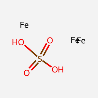 O=S(=O)(O)O.[Fe].[Fe].[Fe]